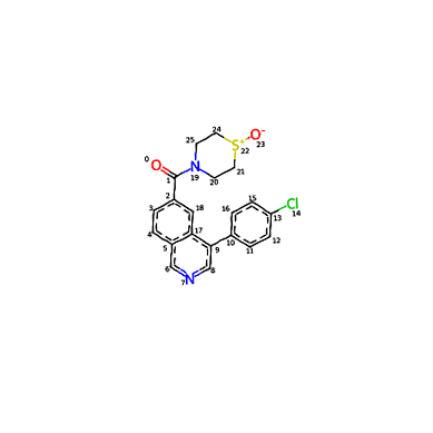 O=C(c1ccc2cncc(-c3ccc(Cl)cc3)c2c1)N1CC[S+]([O-])CC1